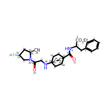 CCOC(=O)C(Cc1ccccc1)NC(=O)C12CCC(NCC(=O)N3C[C@@H](F)C[C@H]3C#N)(CC1)CC2